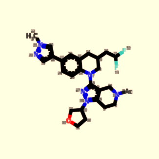 CC(=O)N1CCc2c(c(N3CC(CC(F)F)Cc4cc(-c5cnn(C)c5)ccc43)nn2C2CCOC2)C1